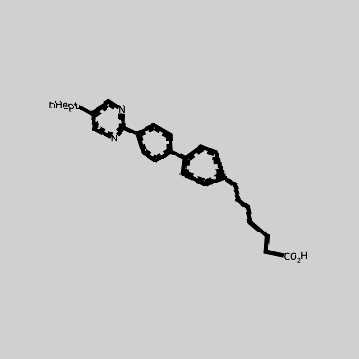 CCCCCCCc1cnc(-c2ccc(-c3ccc(CCCCCCC(=O)O)cc3)cc2)nc1